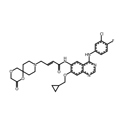 O=C(C=CCN1CCC2(CC1)COCC(=O)O2)Nc1cc2c(Nc3ccc(F)c(Cl)c3)ncnc2cc1OCC1CC1